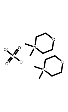 C[N+]1(C)CCOCC1.C[N+]1(C)CCOCC1.O=S(=O)([O-])[O-]